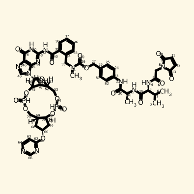 CC(C)[C@H](NC(=O)CN1C(=O)C=CC1=O)C(=O)N[C@@H](C)C(=O)Nc1ccc(COC(=O)N(C)Cc2ccccc2C(=O)Nc2nc3c(ncn3[C@@H]3O[C@@H]4CO[PH](=O)O[C@H]5C[C@H](Oc6ccncn6)C[C@@H]5CO[PH](=O)O[C@@H]3[C@@H]4O)c(=O)[nH]2)cc1